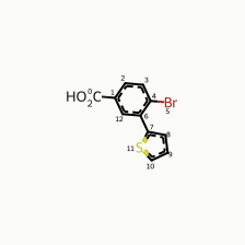 O=C(O)c1ccc(Br)c(-c2cccs2)c1